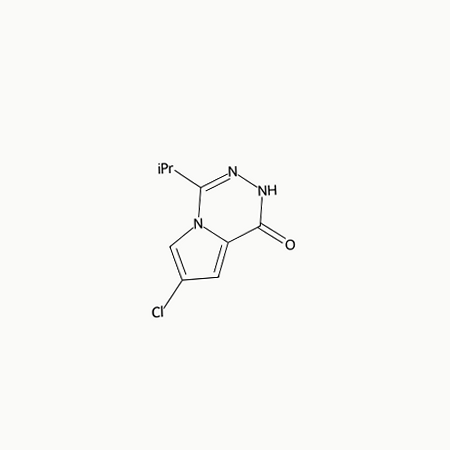 CC(C)c1n[nH]c(=O)c2cc(Cl)cn12